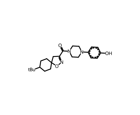 CC(C)(C)C1CCC2(CC1)CC(C(=O)N1CCN(c3ccc(O)cc3)CC1)=NO2